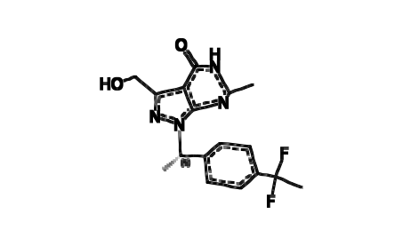 Cc1nc2c(c(CO)nn2[C@@H](C)c2ccc(C(C)(F)F)cc2)c(=O)[nH]1